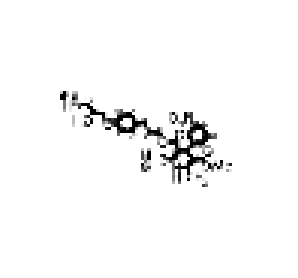 COC(=O)C1=C(C(F)(F)F)NC(C)=C(C(=O)OCCCc2ccc(OCC(O)CNC(C)C)cc2)C1c1cccc([N+](=O)[O-])c1.Cl